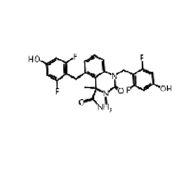 CN1C(=O)N(Cc2c(F)cc(O)cc2F)c2cccc(Cc3c(F)cc(O)cc3F)c2C1(C)C(N)=O